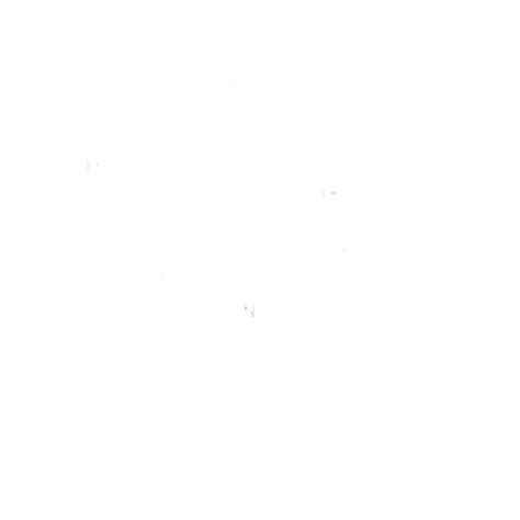 CCCCCCCc1ccc(O)c2c1C(=O)c1c(CCCCCCC)c(NC(=O)c3ccccc3)c(OC(=O)c3ccccc3)c(CCCCCCC)c1C2=O